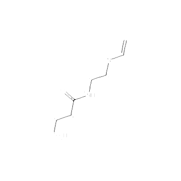 C=CNCCNC(=O)CCC(=O)O